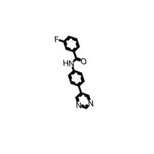 O=C(Nc1ccc(-c2cncnc2)cc1)c1cccc(F)c1